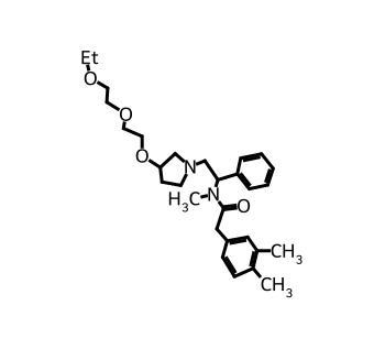 CCOCCOCCOC1CCN(CC(c2ccccc2)N(C)C(=O)Cc2ccc(C)c(C)c2)C1